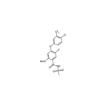 COc1cc(Oc2ccc(Cl)c(C(F)(F)F)c2)c(F)cc1C(=O)NS(C)(=O)=O